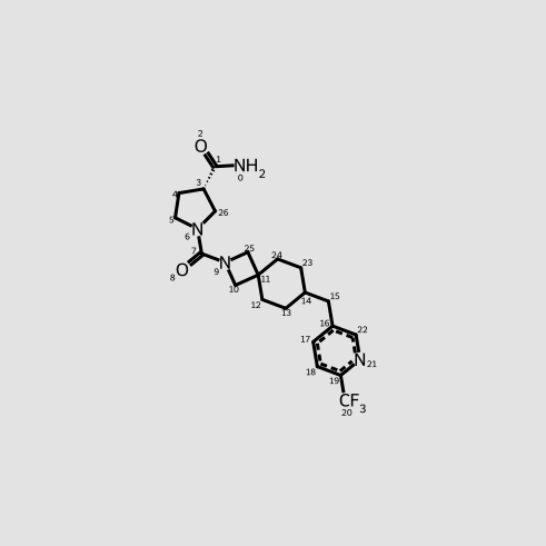 NC(=O)[C@H]1CCN(C(=O)N2CC3(CCC(Cc4ccc(C(F)(F)F)nc4)CC3)C2)C1